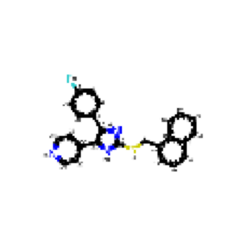 Fc1ccc(-c2[nH]c(SCc3cccc4ccccc34)nc2-c2ccncc2)cc1